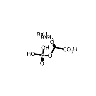 O=C(O)C(=O)OP(=O)(O)O.[BaH2].[BaH2]